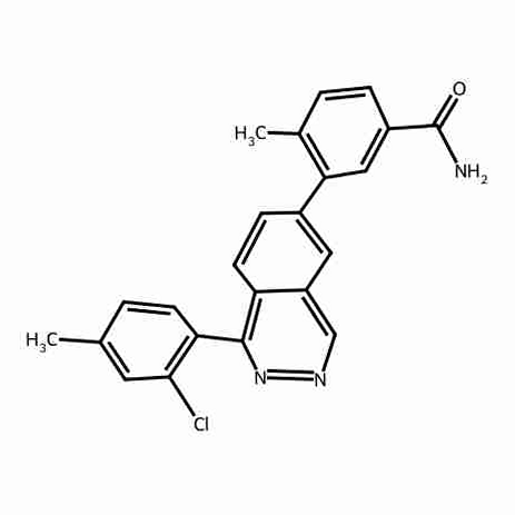 Cc1ccc(-c2nncc3cc(-c4cc(C(N)=O)ccc4C)ccc23)c(Cl)c1